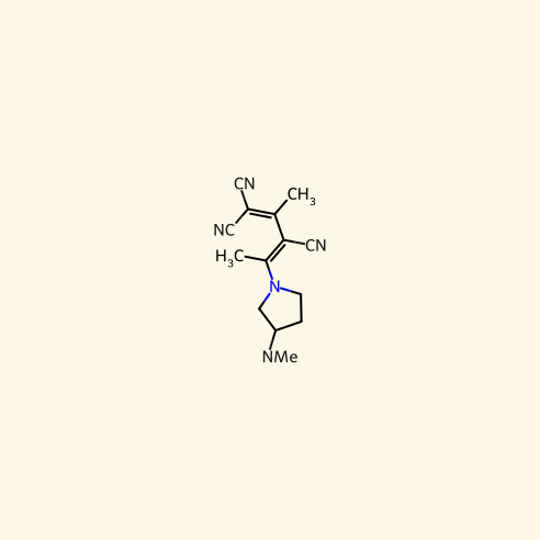 CNC1CCN(/C(C)=C(\C#N)C(C)=C(C#N)C#N)C1